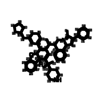 CC1=[N+]2CC(C(C)C3=C(C4=CCCC(CC5CCCC5)=C4)C4Oc5ccccc5[C@H]4C(C(C)(C)C4CCNCC4)=C3)c3ccccc3C2C=C1c1ccccc1